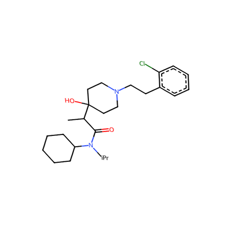 CC(C)N(C(=O)C(C)C1(O)CCN(CCc2ccccc2Cl)CC1)C1CCCCC1